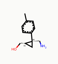 Cc1ccc([C@@]2(CN)C[C@@H]2CO)cc1